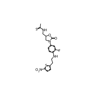 CC(=S)NCC1CN(c2ccc(NCCc3ccc([N+](=O)[O-])s3)c(F)c2)C(=O)O1